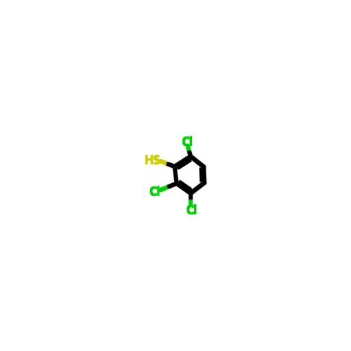 Sc1c(Cl)ccc(Cl)c1Cl